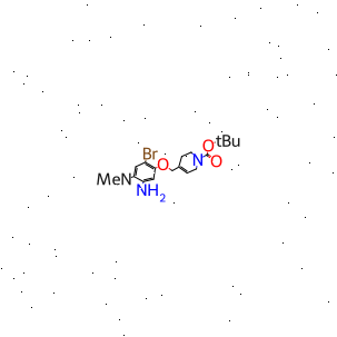 CNc1cc(Br)c(OCC2=CCN(C(=O)OC(C)(C)C)CC2)cc1N